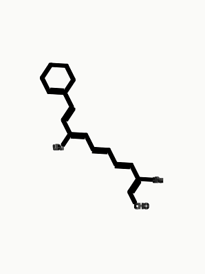 CC(C)(C)C(C=CC=CC=C(C=CC1=CCCCC1)C(C)(C)C)=CC=O